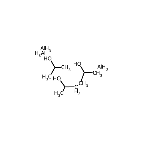 CC(C)O.CC(C)O.CC(C)O.[AlH3].[AlH3].[AlH3]